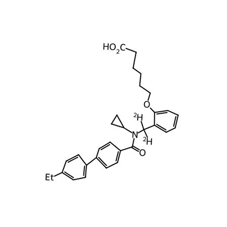 [2H]C([2H])(c1ccccc1OCCCCCC(=O)O)N(C(=O)c1ccc(-c2ccc(CC)cc2)cc1)C1CC1